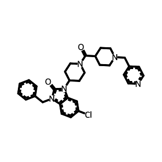 O=C(C1CCN(Cc2ccncc2)CC1)N1CCC(n2c(=O)n(Cc3ccccc3)c3ccc(Cl)cc32)CC1